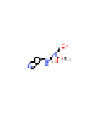 C[C@@H](CN(CCCO)C(=O)OC(C)(C)C)NCc1ccc2cnccc2c1